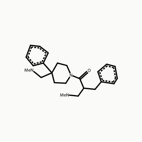 CNCC(Cc1ccccc1)C(=O)N1CCC(CNC)(c2ccccc2)CC1